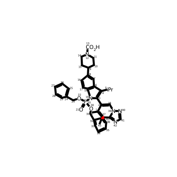 Cc1c(-c2c(C(C)C)c3cc(C4CCN(C(=O)O)CC4)ccc3n2P(=O)(OCc2ccccc2)OCc2ccccc2)cn2ncnc2c1C